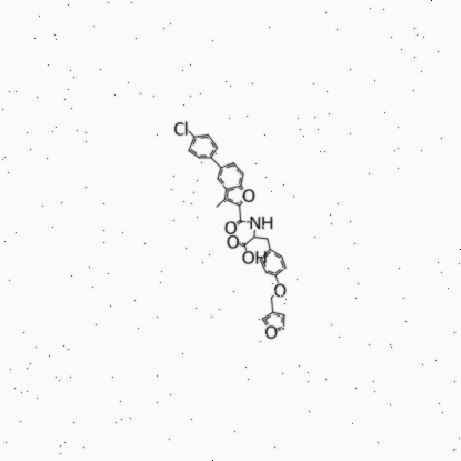 Cc1c(C(=O)NC(Cc2ccc(OCc3ccoc3)cc2)C(=O)O)oc2ccc(-c3ccc(Cl)cc3)cc12